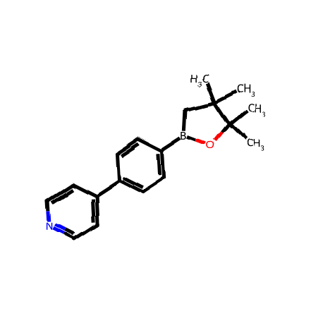 CC1(C)CB(c2ccc(-c3ccncc3)cc2)OC1(C)C